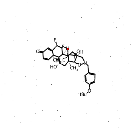 CC(C)(C)Oc1ccc(CN2C[C@@H]3C[C@@]4(C)[C@@H]5C[C@H](F)C6=CC(=O)C=C[C@]6(C)[C@@]5(F)[C@@H](O)C[C@]4(C)[C@]3(C(=O)SCF)O2)cc1